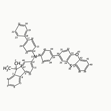 CC1(C)c2ccccc2-c2ccc(N(c3ccc(-c4ccccc4)cc3)c3ccc(-c4ccc5c(c4)Sc4ccccc4O5)cc3)cc21